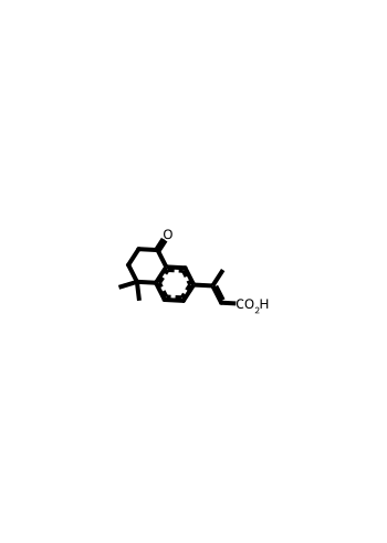 C/C(=C\C(=O)O)c1ccc2c(c1)C(=O)CCC2(C)C